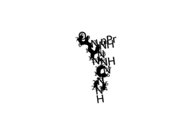 CCCNc1nc(C2CCOC2)cc2cnc(Nc3ccc(N4CCNCC4)cn3)nc12